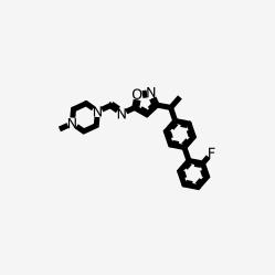 CC(c1ccc(-c2ccccc2F)cc1)c1cc(N=[C]N2CCN(C)CC2)on1